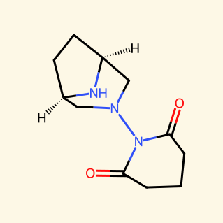 O=C1CCCC(=O)N1N1C[C@H]2CC[C@@H](C1)N2